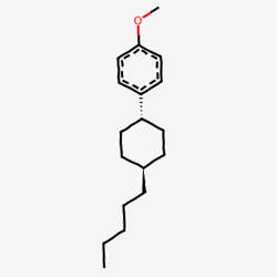 CCCCC[C@H]1CC[C@H](c2ccc(OC)cc2)CC1